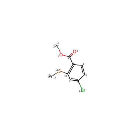 CC(C)OC(=O)c1ccc(Br)cc1SC(C)C